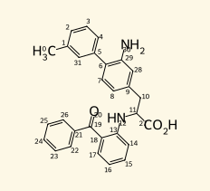 Cc1cccc(-c2ccc(CC(Nc3ccccc3C(=O)c3ccccc3)C(=O)O)cc2N)c1